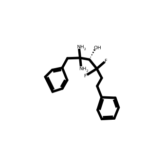 NC(N)(Cc1ccccc1)[C@H](O)C(F)(F)CCc1ccccc1